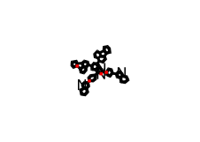 C1=CC2C3=C(C=CC2c2cc(-c4ccc5c6c(cccc46)-c4ccccc4-5)cc4c(-c5ccc(-c6cnc7ccccc7c6)cc5)nc(-c5ccc(-c6cnc7ccccc7c6)cc5)nc24)c2ccccc2C3=C1